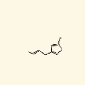 CC=CCC1=CCC(CC)=C1